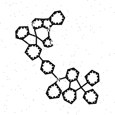 c1ccc(N(c2ccc(-c3ccc4c(c3)C3(c5ccccc5-4)c4ccccc4-n4c5ccccc5c5cccc3c54)cc2)c2cccc3c2-c2ccccc2C3(c2ccccc2)c2ccccc2)cc1